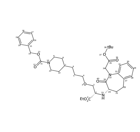 CCOC(=O)[C@H](COCCCC1CCN(C(=O)OCc2ccccc2)CC1)N[C@H]1CCc2ccccc2N(CC(=O)OC(C)(C)C)C1=O